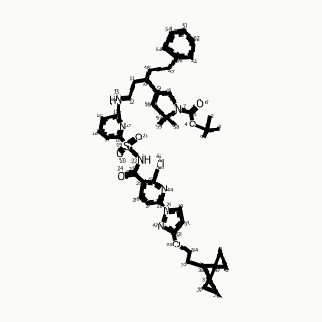 CC(C)(C)OC(=O)N1CC(C(CCNc2cccc(S(=O)(=O)NC(=O)c3ccc(-n4ccc(OCCC5C6(CC6)C56CC6)n4)nc3Cl)n2)CCc2ccccc2)CC1(C)C